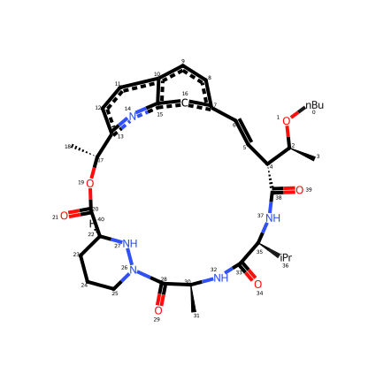 CCCCO[C@@H](C)[C@H]1/C=C/c2ccc3ccc(nc3c2)[C@@H](C)OC(=O)[C@@H]2CCCN(N2)C(=O)[C@H](C)NC(=O)[C@H](C(C)C)NC1=O